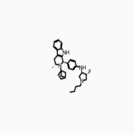 CCCCN1C[C@@H](F)[C@H](Nc2ccc([C@@H]3c4[nH]c5ccccc5c4C[C@@H](C)N3C34CCC(C3)C4)cc2)C1